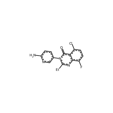 CCc1nc2c(F)ccc(Cl)c2c(=O)n1-c1ccc(N)nc1